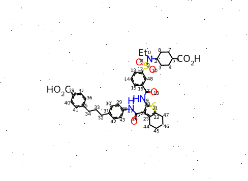 CCN(C1CCC(C(=O)O)CC1)S(=O)(=O)c1cccc(C(=O)Nc2sc3c(c2C(=O)Nc2ccc(CCCc4ccc(C(=O)O)cc4)cc2)CCCC3)c1